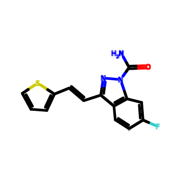 NC(=O)n1nc(C=Cc2cccs2)c2c[c]c(F)cc21